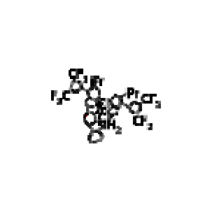 CC1=Cc2c(ccc(C(C)C)c2-c2cc(C(F)(F)F)cc(C(F)(F)F)c2)[CH]1[Zr]([Cl])([Cl])([c]1cccc2c1[SiH2]c1ccccc1-2)[CH]1C(C)=Cc2c1ccc(C(C)C)c2-c1cc(C(F)(F)F)cc(C(F)(F)F)c1